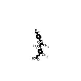 Cc1cc(O[C@H](C)c2oc(-c3ccc(C(F)(F)F)cc3)nc2C)ccc1CCC(=O)O